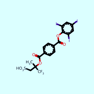 CC(CS(=O)(=O)O)(OC(=O)c1ccc(C(=O)Oc2c(I)cc(I)cc2I)cc1)C(F)(F)F